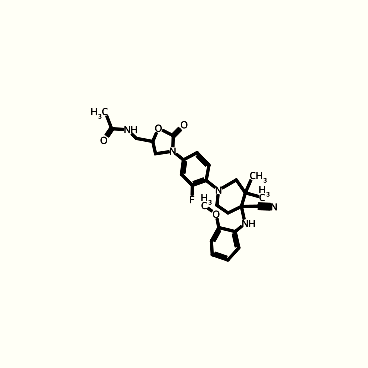 COc1ccccc1NC1(C#N)CCN(c2ccc(N3CC(CNC(C)=O)OC3=O)cc2F)CC1(C)C